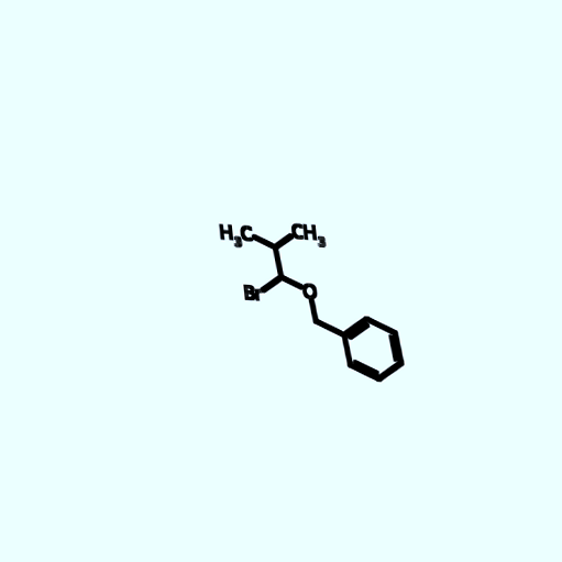 CC(C)C(Br)OCc1ccccc1